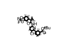 Cc1ccc(NC(=O)C2(c3ccc4c(c3)OC(F)(F)O4)CC2)nc1-c1cccc(C(=O)OC(C)(C)C)c1